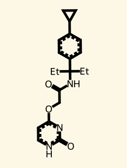 CCC(CC)(NC(=O)COc1cc[nH]c(=O)n1)c1ccc(C2CC2)cc1